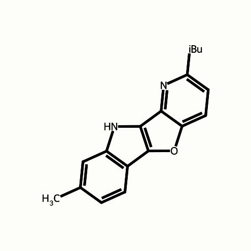 CCC(C)c1ccc2oc3c4ccc(C)cc4[nH]c3c2n1